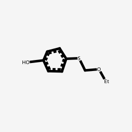 CCOCSc1ccc(O)cc1